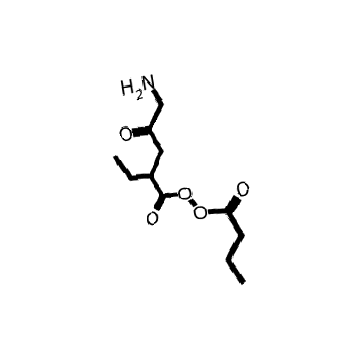 CCCC(=O)OOC(=O)C(CC)CC(=O)CN